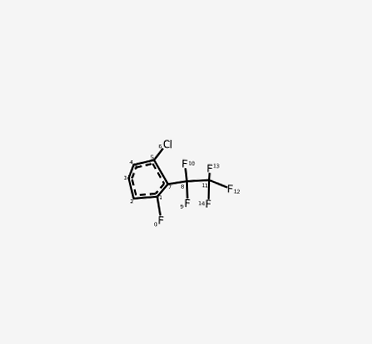 Fc1c[c]cc(Cl)c1C(F)(F)C(F)(F)F